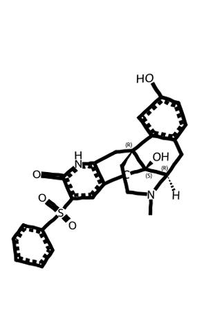 CN1CC[C@]23Cc4[nH]c(=O)c(S(=O)(=O)c5ccccc5)cc4C[C@@]2(O)[C@H]1Cc1ccc(O)cc13